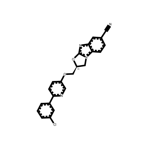 N#Cc1ccc2c(c1)nc1n2C[C@@H](COc2ccc(-c3cccc(Cl)c3)nc2)O1